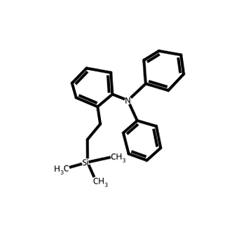 C[Si](C)(C)CCc1ccccc1N(c1ccccc1)c1ccccc1